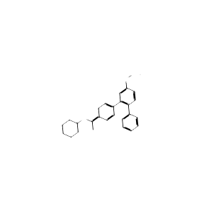 CCCCCCCCOc1ccc(-c2ccccc2)c(C2=CC/C(=C(/C)OC3CCCCC3)C=C2)c1